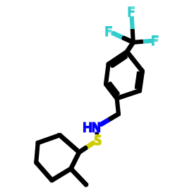 CC1CCCCC1SNCc1ccc(C(F)(F)F)cc1